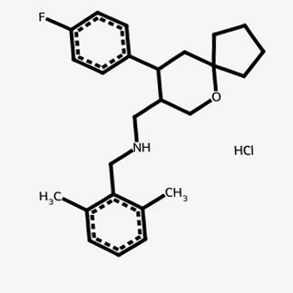 Cc1cccc(C)c1CNCC1COC2(CCCC2)CC1c1ccc(F)cc1.Cl